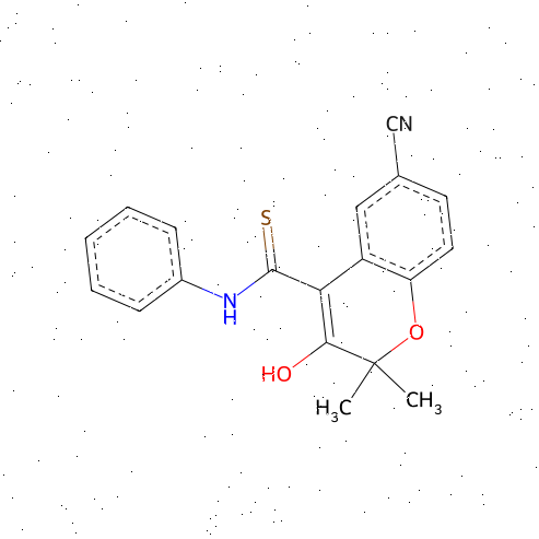 CC1(C)Oc2ccc(C#N)cc2C(C(=S)Nc2ccccc2)=C1O